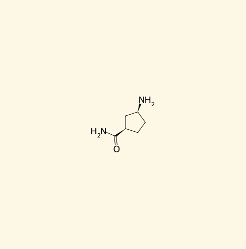 NC(=O)[C@@H]1CC[C@H](N)C1